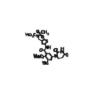 COc1c(C(=O)Nc2cc(CN(C(=O)O)S(C)(=O)=O)cs2)cc(N2CCC(=O)NC2=O)cc1C(C)(C)C